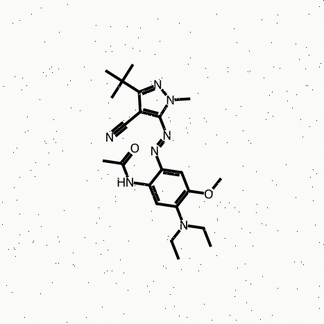 CCN(CC)c1cc(NC(C)=O)c(N=Nc2c(C#N)c(C(C)(C)C)nn2C)cc1OC